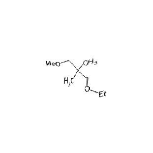 CCOCC(C)(C)COC